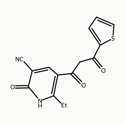 CCc1[nH]c(=O)c(C#N)cc1C(=O)CC(=O)c1cccs1